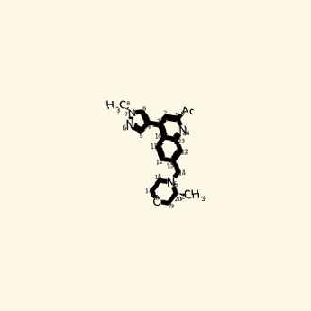 CC(=O)c1cc(-c2cnn(C)c2)c2ccc(CN3CCOC[C@H]3C)cc2n1